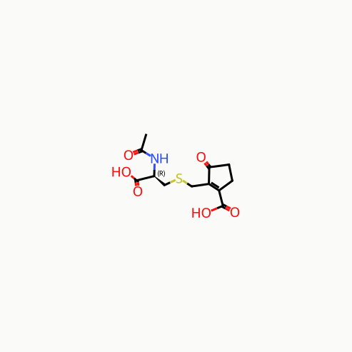 CC(=O)N[C@@H](CSCC1=C(C(=O)O)CCC1=O)C(=O)O